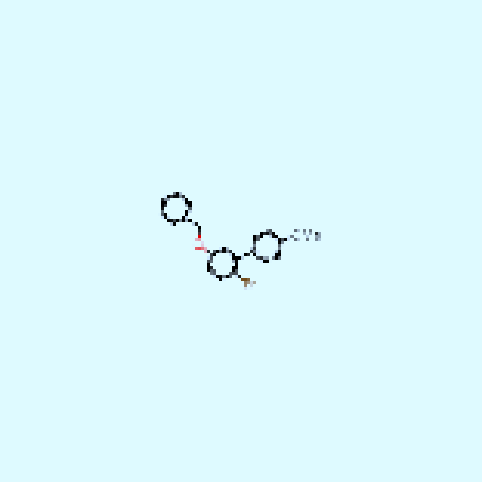 COc1ccc(-c2cc(OCc3ccccc3)ccc2Br)cc1